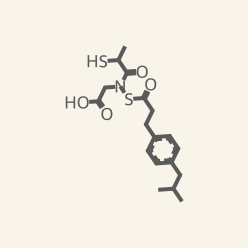 CC(C)Cc1ccc(CCC(=O)SN(CC(=O)O)C(=O)C(C)S)cc1